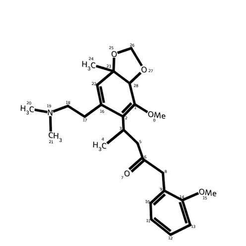 COC1=C(C(C)CC(=O)Cc2ccccc2OC)C(CCN(C)C)=CC2(C)OCOC12